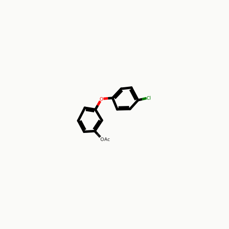 CC(=O)Oc1cccc(Oc2ccc(Cl)cc2)c1